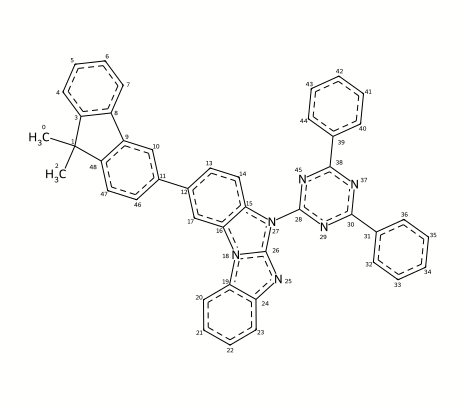 CC1(C)c2ccccc2-c2cc(-c3ccc4c(c3)n3c5ccccc5nc3n4-c3nc(-c4ccccc4)nc(-c4ccccc4)n3)ccc21